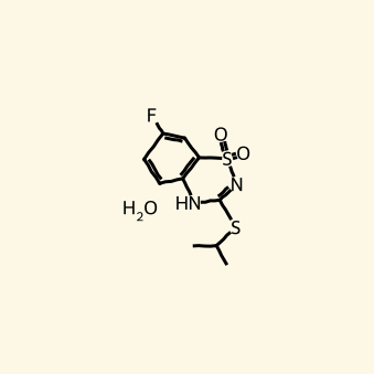 CC(C)SC1=NS(=O)(=O)c2cc(F)ccc2N1.O